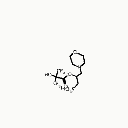 O=C(OC(CN1CCOCC1)CS(=O)(=O)O)C(O)(C(F)(F)F)C(F)(F)F